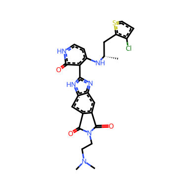 C[C@@H](Cc1sccc1Cl)Nc1cc[nH]c(=O)c1-c1nc2cc3c(cc2[nH]1)C(=O)N(CCN(C)C)C3=O